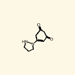 O=C1C=C(N2CCCN2)CC(=O)C1